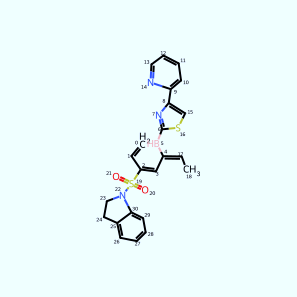 C=C/C(=C\C(Bc1nc(-c2ccccn2)cs1)=C/C)S(=O)(=O)N1CCc2ccccc21